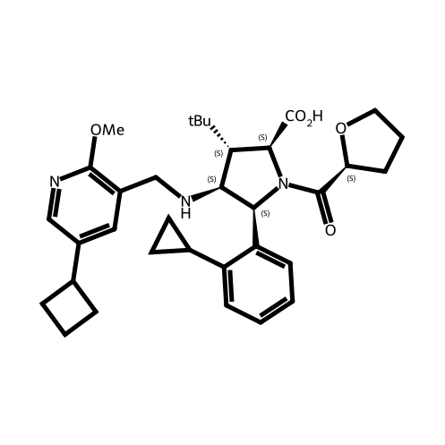 COc1ncc(C2CCC2)cc1CN[C@H]1[C@H](C(C)(C)C)[C@@H](C(=O)O)N(C(=O)[C@@H]2CCCO2)[C@H]1c1ccccc1C1CC1